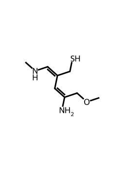 CN/C=C(\C=C(\N)COC)CS